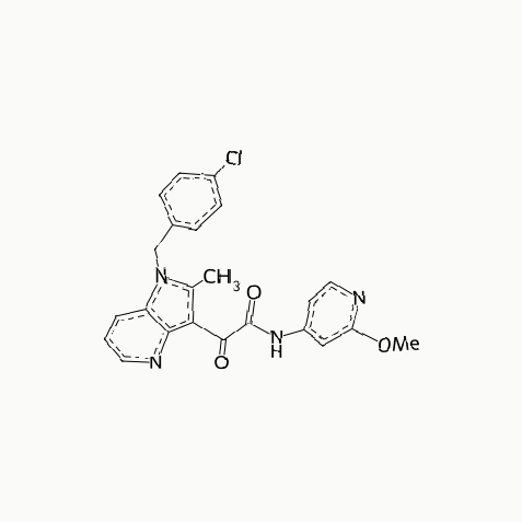 COc1cc(NC(=O)C(=O)c2c(C)n(Cc3ccc(Cl)cc3)c3cccnc23)ccn1